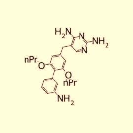 CCCOc1cc(Cc2cnc(N)nc2N)cc(OCCC)c1-c1cccc(N)c1